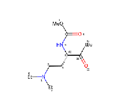 CCN(CC)CC[C@H](NC(=O)OC)C(=O)C(C)(C)C